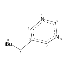 CCC(C)Cc1cncnc1